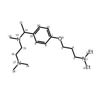 CCN(CC)CCCOc1ccc(C(C)N(C)CCN(C)C)cc1